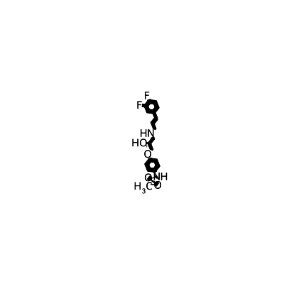 CS(=O)(=O)Nc1ccc(OC[C@@H](O)CNCC=Cc2ccc(F)c(F)c2)cc1